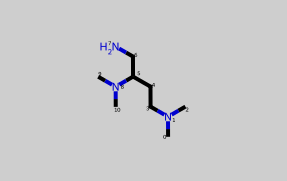 CN(C)CCC(CN)N(C)C